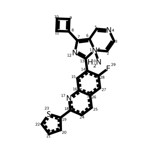 N[N+]12C=CN=CC1=C(C1=CC=C1)N=C2c1cc2nc(-c3cccs3)ccc2cc1F